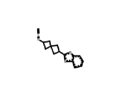 C=C=NC1CC2(C1)CC(c1nc3ccccc3o1)C2